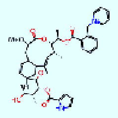 CO[C@H]1CC2C=C[C@@H]3C[C@]2(O[C@H]3[C@H](OC(=O)c2ccc[nH]2)[C@H](C)[C@H](C)O)/C(C)=C/[C@@H](C)[C@@H]([C@@H](C)OC(=O)c2ccccc2C[n+]2ccccc2)OC1=O